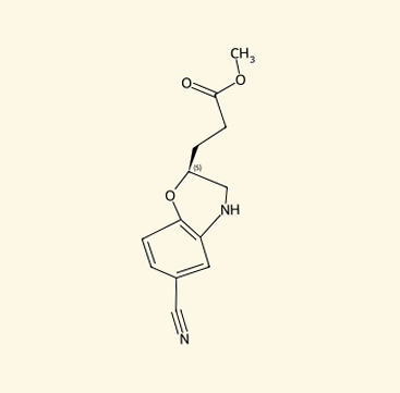 COC(=O)CC[C@H]1CNc2cc(C#N)ccc2O1